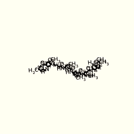 C=C1C[C@H]2C=Nc3cc(OCCCC(=O)Nc4cn(C)c(C(=O)Nc5cc(C(=O)Nc6cc(C(=O)Nc7cnc8c(ccn8C(C)(C)C)c7)n(C)c6)n(C)c5)n4)c(OC)cc3C(=O)N2C1